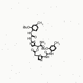 Cc1ccc(NC(=O)Nc2ncc(CC(=O)OC(C(N)=O)c3cnc(NC(=O)Nc4ccc(C)cc4OCC(C)C)s3)s2)c(OCC(C)C)c1